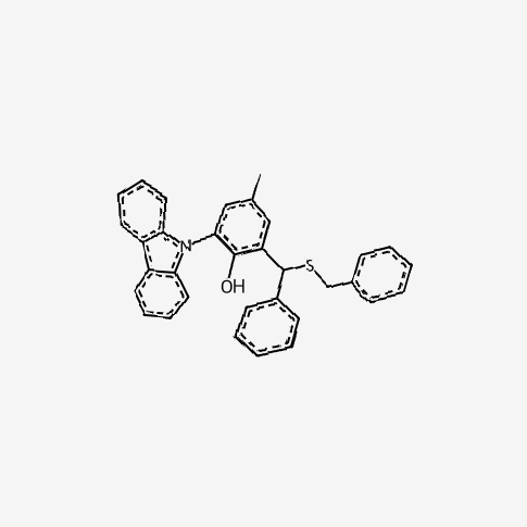 Cc1cc(C(SCc2ccccc2)c2ccccc2)c(O)c(-n2c3ccccc3c3ccccc32)c1